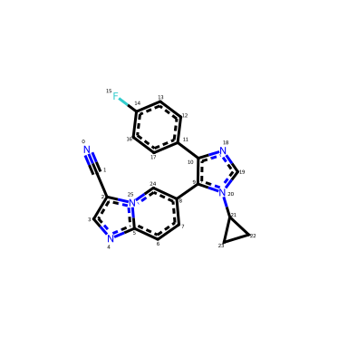 N#Cc1cnc2ccc(-c3c(-c4ccc(F)cc4)ncn3C3CC3)cn12